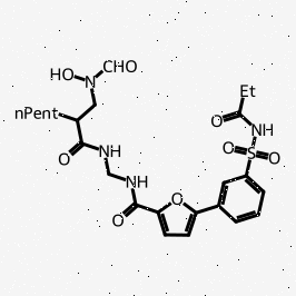 CCCCCC(CN(O)C=O)C(=O)NCNC(=O)c1ccc(-c2cccc(S(=O)(=O)NC(=O)CC)c2)o1